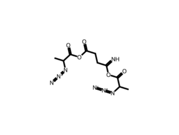 CC(N=[N+]=[N-])C(=O)OC(=N)CCC(=O)OC(=O)C(C)N=[N+]=[N-]